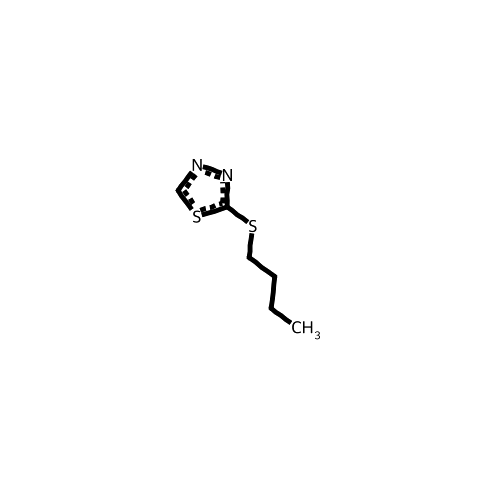 CCCCSc1nncs1